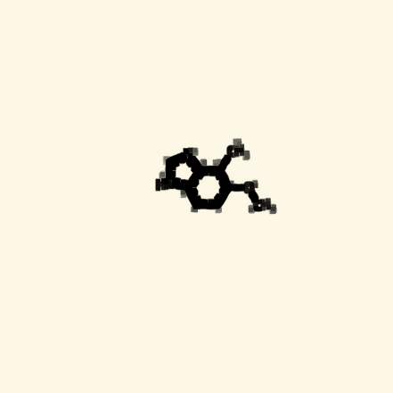 COc1ccc2[nH][c]nc2c1C